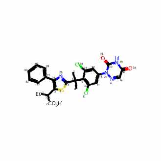 CCC(C(=O)O)c1sc(C(C)(C)c2c(Cl)cc(-n3ncc(=O)[nH]c3=O)cc2Cl)nc1-c1ccccc1